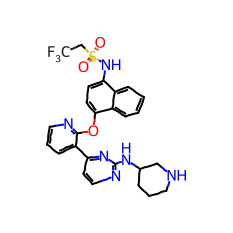 O=S(=O)(CC(F)(F)F)Nc1ccc(Oc2ncccc2-c2ccnc(NC3CCCNC3)n2)c2ccccc12